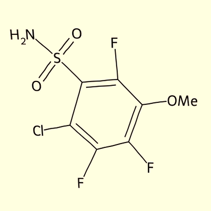 COc1c(F)c(F)c(Cl)c(S(N)(=O)=O)c1F